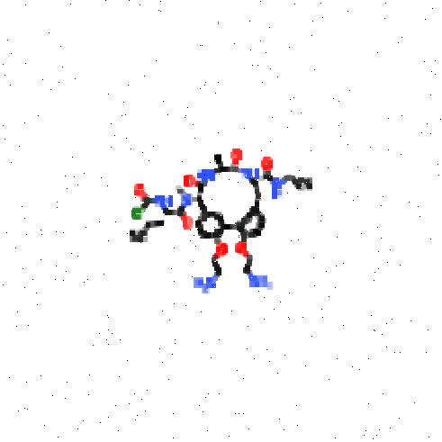 C[C@@H]1NC(=O)[C@@H](N(C)C(=O)[C@H](CCC#N)NC(=O)Cl)c2ccc(OCCN)c(c2)-c2cc(ccc2OCCN)C[C@@H](C(=O)NCC#N)NC1=O